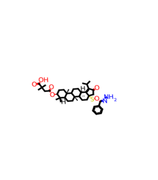 CC(C)C1=C2[C@H]3CCC4[C@@]5(C)CC[C@H](OC(=O)CC(C)(C)C(=O)O)C(C)(C)[C@@H]5CC[C@@]4(C)[C@]3(C)CC[C@@]2(SO/C(=N\N)c2ccccc2)CC1=O